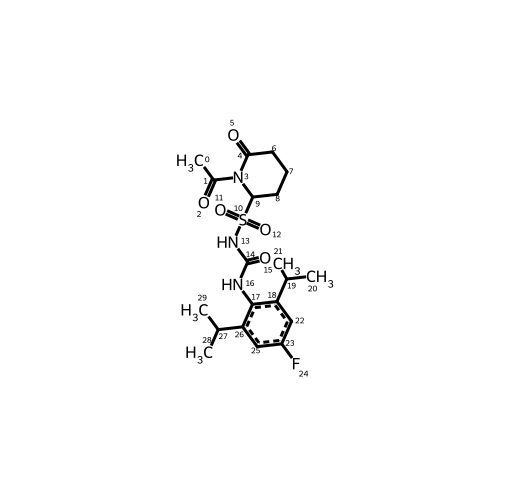 CC(=O)N1C(=O)CCCC1S(=O)(=O)NC(=O)Nc1c(C(C)C)cc(F)cc1C(C)C